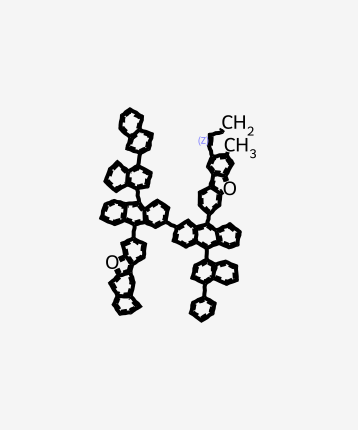 C=C/C=C\c1cc2c(cc1C)oc1cc(-c3c4ccccc4c(-c4ccc(-c5ccccc5)c5ccccc45)c4ccc(-c5ccc6c(-c7ccc(-c8ccc9ccccc9c8)c8ccccc78)c7ccccc7c(-c7ccc8c(c7)oc7cc9ccccc9cc78)c6c5)cc34)ccc12